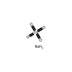 [BaH2].[O]=[Os](=[O])(=[O])=[O]